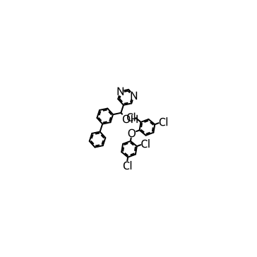 Clc1ccc(Oc2ccc(Cl)cc2Cl)c(Cl)c1.OC(c1cncnc1)c1cccc(-c2ccccc2)c1